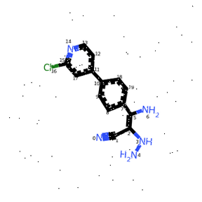 N#C/C(NN)=C(/N)c1ccc(-c2ccnc(Cl)c2)cc1